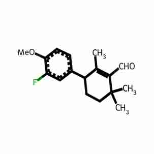 COc1ccc(C2CCC(C)(C)C(C=O)=C2C)cc1F